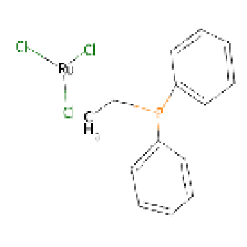 CCP(c1ccccc1)c1ccccc1.[Cl][Ru]([Cl])[Cl]